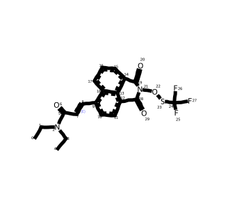 CCN(CC)C(=O)/C=C/c1ccc2c3c(cccc13)C(=O)N(OSC(F)(F)F)C2=O